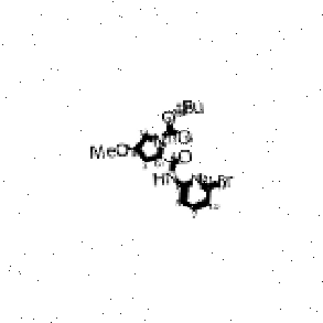 CO[C@H]1C[C@@H](C(=O)Nc2cccc(Br)n2)N(C(=O)OC(C)(C)C)C1